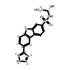 CC(C)[C@H](NS(=O)(=O)c1ccc2c(c1)oc1ccc(-c3nn[nH]n3)cc12)C(=O)O